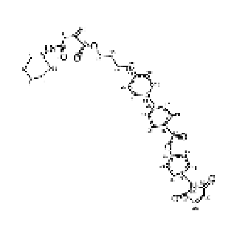 C=C(CC(=O)OC1CCCCC1)C(=O)OCCCOc1ccc(-c2ccc(C(=O)Oc3ccc(N4C(=O)C=CC4=O)cc3)cc2)cc1